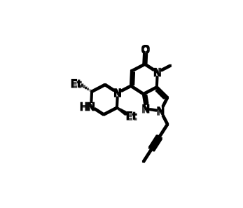 CC#CCn1cc2c(n1)c(N1C[C@@H](CC)NC[C@@H]1CC)cc(=O)n2C